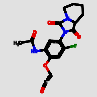 CC(=O)Nc1cc(N2C(=O)C3CCCCN3C2=O)c(F)cc1OC=C=O